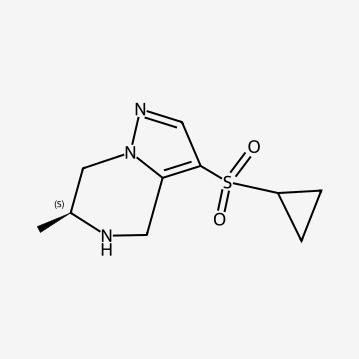 C[C@H]1Cn2ncc(S(=O)(=O)C3CC3)c2CN1